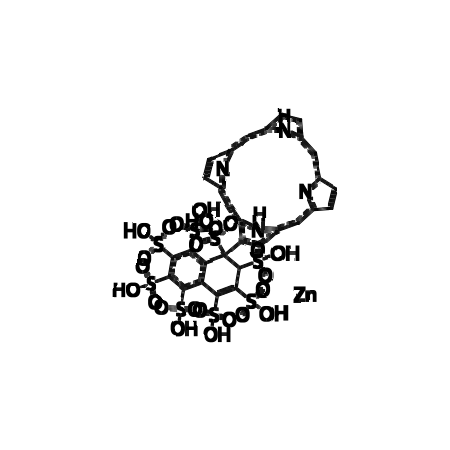 O=S(=O)(O)C1=C(S(=O)(=O)O)C(S(=O)(=O)O)C(c2cc3cc4nc(cc5ccc(cc6nc(cc2[nH]3)C=C6)[nH]5)C=C4)(S(=O)(=O)O)c2c1c(S(=O)(=O)O)c(S(=O)(=O)O)c(S(=O)(=O)O)c2S(=O)(=O)O.[Zn]